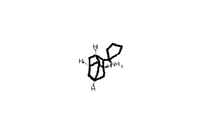 NC1(C2[C@H]3C[C@H]4C[C@H](C3)C[C@H]2C4)CCCC1